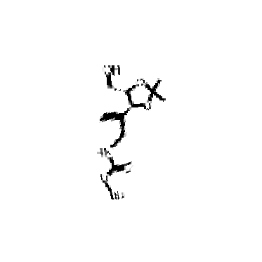 C=C(CNC(=O)OC(C)(C)C)[C@@H]1OC(C)(C)O[C@H]1CO